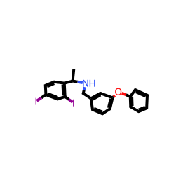 CC(NCc1cccc(Oc2ccccc2)c1)c1ccc(I)cc1I